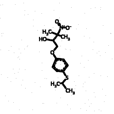 CC(C)Sc1ccc(OCC(O)C(C)(C)[N+](=O)[O-])cc1